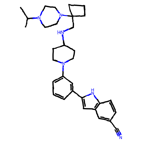 CC(C)N1CCN(C2(CNC3CCN(c4cccc(-c5cc6cc(C#N)ccc6[nH]5)c4)CC3)CCC2)CC1